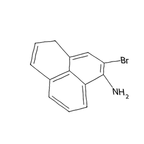 Nc1c(Br)cc2c3c(cccc13)C=CC2